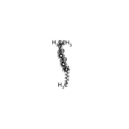 CCCCCCCCc1cnc(-c2ccc(OC(=O)c3ccc(OC(=O)CCO[C@@H](C)CC)cc3)cc2)nc1